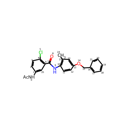 CC(=O)Nc1ccc(Cl)c(C(=O)Nc2ccc(OCc3ccccc3)cc2C)c1